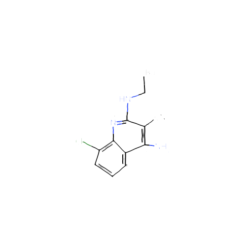 CC(C)(C)CNc1nc2c(Cl)cccc2c(N)c1C#N